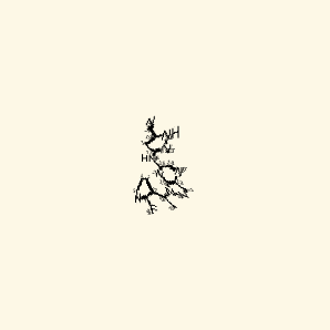 C[C@@H](c1cccnc1F)n1ncc2ncc(Nc3cc(C#N)[nH]n3)nc21